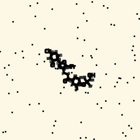 Cc1cc(C(=O)CCc2nc(-c3ccc(Cl)cc3Cl)oc2C(C)C)ccc1OC(C)(C)CO